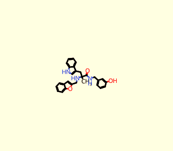 CC(Cc1c[nH]c2ccccc12)(NCc1cc2ccccc2o1)C(=O)NCc1cccc(O)c1